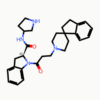 O=C(NC1CCNC1)[C@@H]1Cc2ccccc2N1C(=O)CCN1CCC2(CCc3ccccc32)CC1